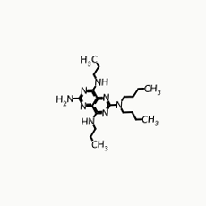 CCCCN(CCCC)c1nc(NCCC)c2nc(N)nc(NCCC)c2n1